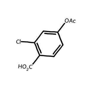 CC(=O)Oc1ccc(C(=O)O)c(Cl)c1